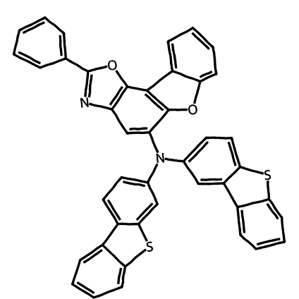 c1ccc(-c2nc3cc(N(c4ccc5c(c4)sc4ccccc45)c4ccc5sc6ccccc6c5c4)c4oc5ccccc5c4c3o2)cc1